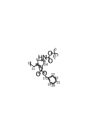 CC(C)(C)OC(=O)N[C@@H]1C[C@H](CI)N(C(=O)OCc2ccccc2)C1